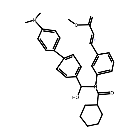 C=C(/C=C/c1cccc(N(C(=O)C2CCCCC2)C(O)c2ccc(-c3ccc(N(C)C)cc3)cc2)c1)OC